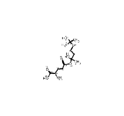 CC(C)(C)OCCC(C)(C)OC(=O)CC[C@@H](N)C(=O)O